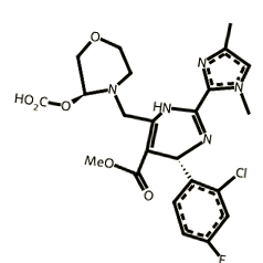 COC(=O)C1=C(CN2CCOC[C@@H]2OC(=O)O)NC(c2nc(C)cn2C)=N[C@@H]1c1ccc(F)cc1Cl